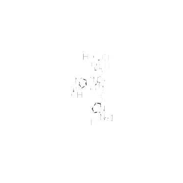 COc1ccc(C(CC(=O)OC(C)(C)C)N2CCN(CCCc3cccc(N(C)C4CC4)n3)C2=O)cn1